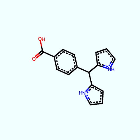 O=C(O)c1ccc(C(c2ccc[nH]2)c2ccc[nH]2)cc1